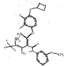 CSc1cccc(NC(=O)C(=C(/N)Oc2ccc(OC3CCC3)c(F)c2F)/C(C)=C(\N)C(F)(F)F)c1